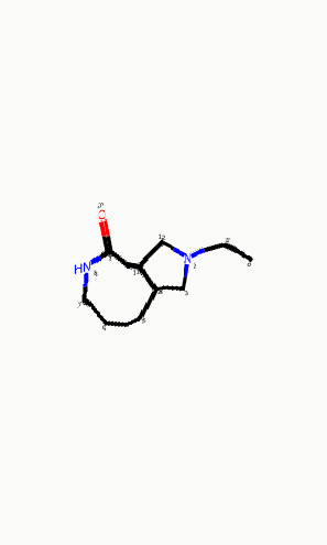 CCN1CC2CCCNC(=O)C2C1